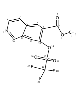 COC(=O)c1cc2ccncc2cc1OS(=O)(=O)C(F)(F)F